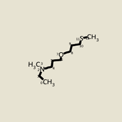 CCN(C)CCCOCCCSC